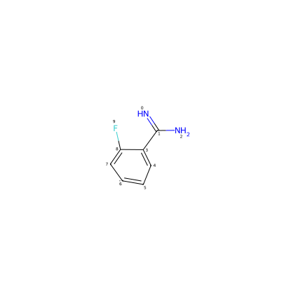 N=C(N)c1cc[c]cc1F